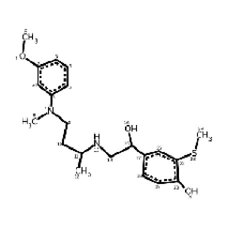 COc1cccc(N(C)CCC(C)NCC(O)c2ccc(O)c(SC)c2)c1